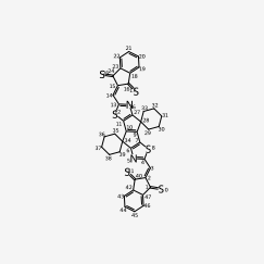 S=C1C(=Cc2nc3c(s2)C2=C(c4sc(C=C5C(=S)c6ccccc6C5=S)nc4C24CCCCC4)C32CCCCC2)C(=S)c2ccccc21